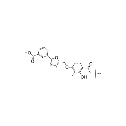 Cc1c(OCc2nnc(-c3cccc(C(=O)O)c3)o2)ccc(C(=O)CC(C)(C)C)c1O